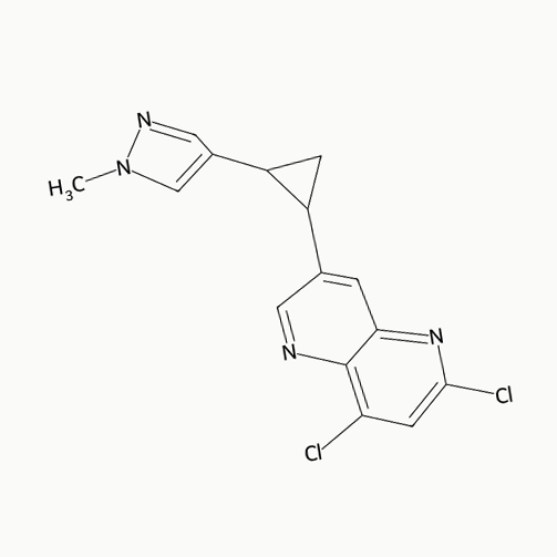 Cn1cc(C2CC2c2cnc3c(Cl)cc(Cl)nc3c2)cn1